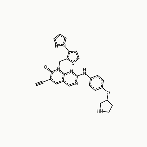 C#Cc1cc2cnc(Nc3ccc(OC4CCNC4)cc3)nc2n(Cc2sccc2-n2cccn2)c1=O